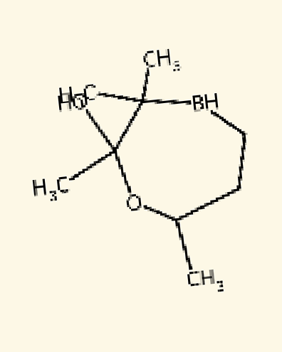 CC1CCBC(C)(C)C(C)(O)O1